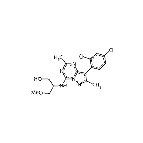 COCC(CO)Nc1nc(C)nc2c(-c3ccc(Cl)cc3Cl)c(C)nn12